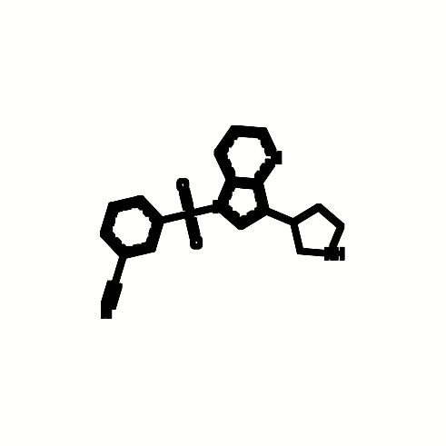 N#Cc1cccc(S(=O)(=O)n2cc(C3CCNC3)c3ncccc32)c1